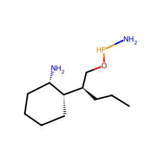 CCC[C@H](COPN)[C@@H]1CCCC[C@@H]1N